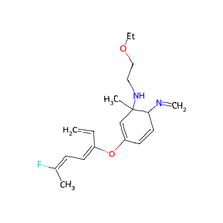 C=C/C(=C\C=C(/C)F)OC1=CC(C)(NCCOCC)C(N=C)C=C1